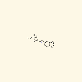 CC1(C)CC(/C=C/c2ccc3c(c2)OCO3)O1